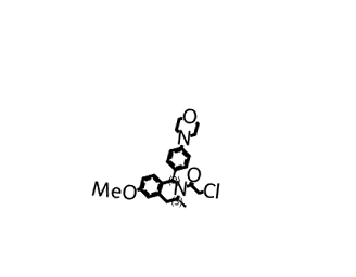 COc1ccc2c(c1)C[C@H](C)N(C(=O)CCl)[C@@H]2c1ccc(N2CCOCC2)cc1